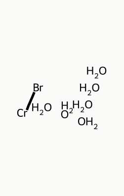 O.O.O.O.O.O.[Cr][Br]